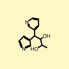 CC(O)C(O)C(c1cccnc1)c1cccnc1